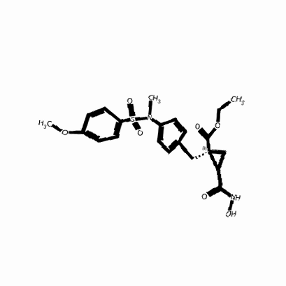 CCOC(=O)[C@@]1(Cc2ccc(N(C)S(=O)(=O)c3ccc(OC)cc3)cc2)CC1C(=O)NO